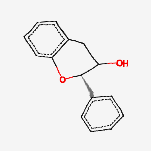 OC1Cc2ccccc2O[C@H]1c1ccccc1